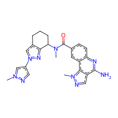 CN(C(=O)c1ccc2nc(N)c3cnn(C)c3c2c1)C1CCCc2cn(-c3cnn(C)c3)nc21